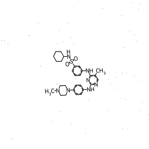 Cc1cnc(Nc2ccc(N3CCN(C)CC3)cc2)nc1Nc1cccc(S(=O)(=O)NC2CCCCC2)c1